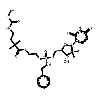 CC(C)OC(=O)NCCC(C)(C)C(=O)SCCO[P@@](=O)(NCc1ccccc1)OC[C@H]1O[C@@H](n2ccc(=O)[nH]c2=O)[C@](C)(Cl)[C@@H]1O